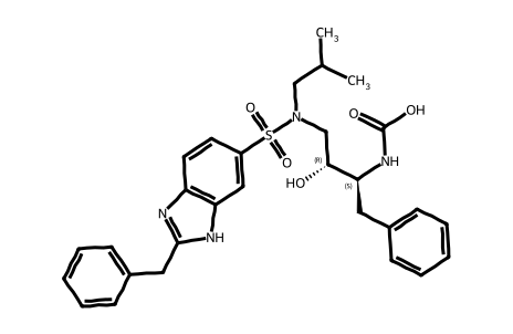 CC(C)CN(C[C@@H](O)[C@H](Cc1ccccc1)NC(=O)O)S(=O)(=O)c1ccc2nc(Cc3ccccc3)[nH]c2c1